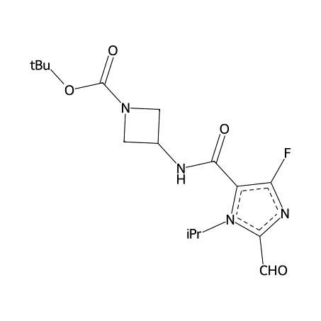 CC(C)n1c(C=O)nc(F)c1C(=O)NC1CN(C(=O)OC(C)(C)C)C1